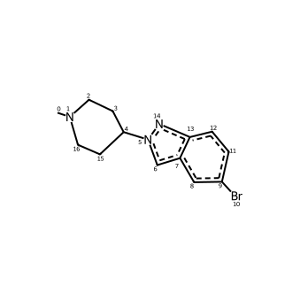 CN1CCC(n2cc3cc(Br)ccc3n2)CC1